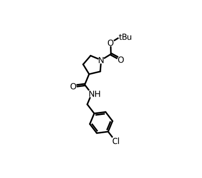 CC(C)(C)OC(=O)N1CCC(C(=O)NCc2ccc(Cl)cc2)C1